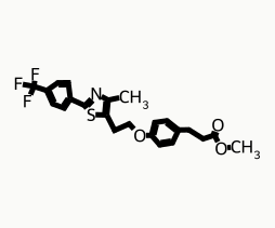 COC(=O)CCc1ccc(OCCc2sc(-c3ccc(C(F)(F)F)cc3)nc2C)cc1